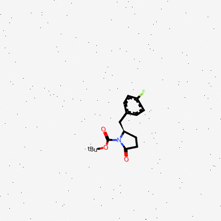 CC(C)(C)OC(=O)N1C(=O)CC[C@@H]1Cc1ccc(F)cc1